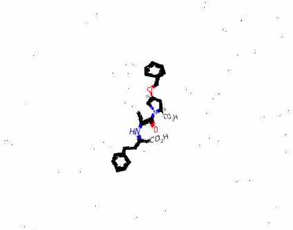 CC(NC(CCc1ccccc1)C(=O)O)C(=O)N1C[C@@H](OCc2ccccc2)C[C@H]1C(=O)O